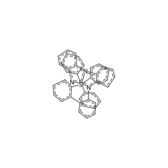 c1ccc([Si](c2ccccc2)(c2ccccc2)c2ccccc2-c2ccccc2-n2c3ccccc3n3c4ccccc4nc23)cc1